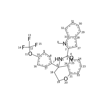 Cn1c(C(=O)NC2(c3ccc(OC(F)(F)F)cc3)CCOc3cccnc32)cc2ccccc21